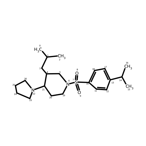 CC(C)CC1CN(S(=O)(=O)c2ccc(C(C)C)cc2)CCC1N1CCCC1